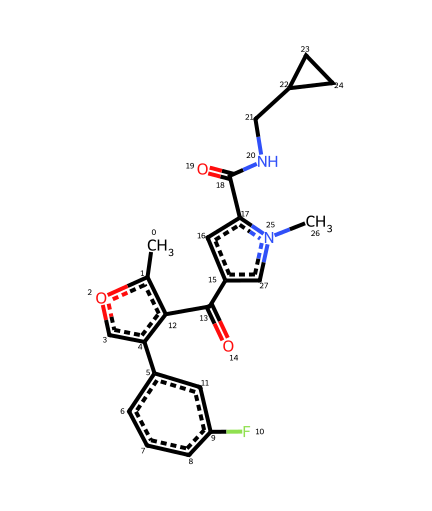 Cc1occ(-c2cccc(F)c2)c1C(=O)c1cc(C(=O)NCC2CC2)n(C)c1